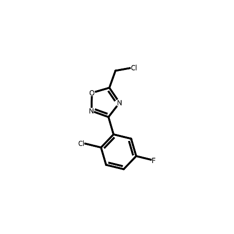 Fc1ccc(Cl)c(-c2noc(CCl)n2)c1